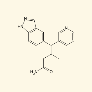 CC(CC(N)=O)C(c1cccnc1)c1ccc2[nH]ncc2c1